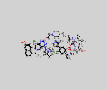 CCc1cccc2cc(O)cc(-c3ncc4c(N5C[C@H]6CC[C@@H](C5)N6)nc(OCCN5CCC(COCC(=O)NC(C(=O)N6C[C@H](O)C[C@H]6C(=O)N[C@@H](C)c6ccc(-c7scnc7C)c(Cl)c6)C(C)(C)C)CC5)nc4c3F)c12